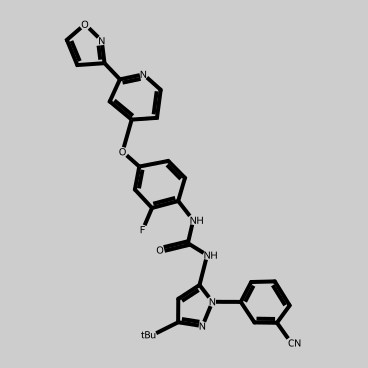 CC(C)(C)c1cc(NC(=O)Nc2ccc(Oc3ccnc(-c4ccon4)c3)cc2F)n(-c2cccc(C#N)c2)n1